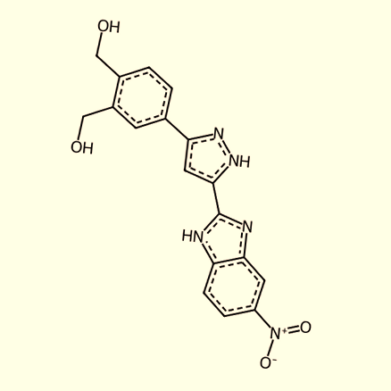 O=[N+]([O-])c1ccc2[nH]c(-c3cc(-c4ccc(CO)c(CO)c4)n[nH]3)nc2c1